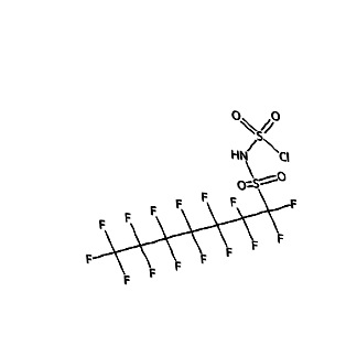 O=S(=O)(Cl)NS(=O)(=O)C(F)(F)C(F)(F)C(F)(F)C(F)(F)C(F)(F)C(F)(F)C(F)(F)F